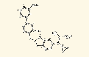 COc1cc(-c2ccc(CC3Cc4ccc(C(C5CC5)[C@H](C)C(=O)O)cc4O3)c(F)c2)ccn1